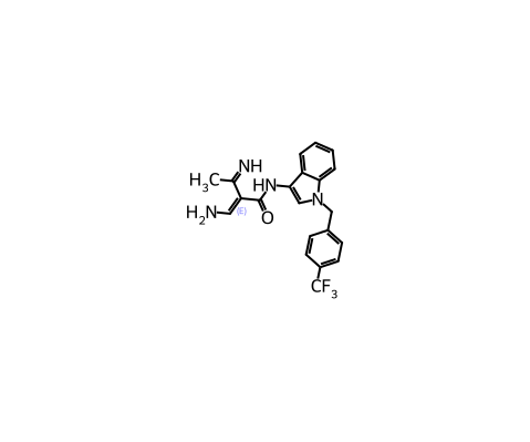 CC(=N)/C(=C\N)C(=O)Nc1cn(Cc2ccc(C(F)(F)F)cc2)c2ccccc12